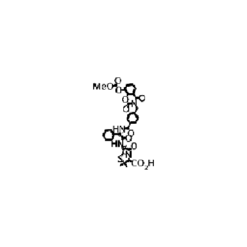 COC(=O)Oc1cccc2c(=O)n(Cc3ccc(C(=O)N[C@@H](C(=O)N[C@@H]4C(=O)N5C4SC(C)(C)C5C(=O)O)c4ccccc4)cc3)c(=O)oc12